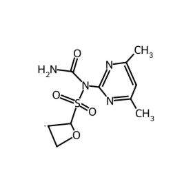 Cc1cc(C)nc(N(C(N)=O)S(=O)(=O)C2[CH]CO2)n1